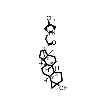 C[C@]12CC[C@@H]3[C@H]4CC[C@]5(O)CC5[C@H]4CC[C@H]3[C@@H]1CC[C@@H]2C(=O)Cn1cc(C(F)(F)F)cn1